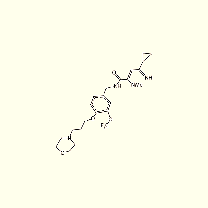 CN/C(=C\C(=N)C1CC1)C(=O)NCc1ccc(OCCCN2CCOCC2)c(OC(F)(F)F)c1